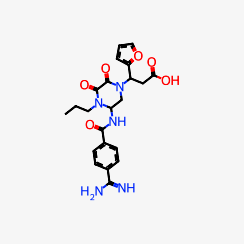 CCCN1C(=O)C(=O)N(C(CC(=O)O)c2ccco2)CC1NC(=O)c1ccc(C(=N)N)cc1